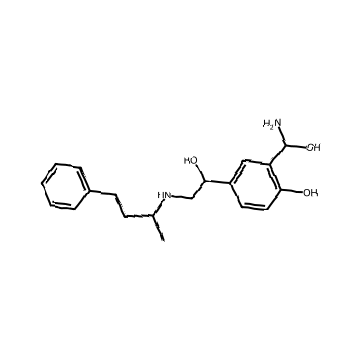 CC(CCc1ccccc1)NCC(O)c1ccc(O)c(C(N)O)c1